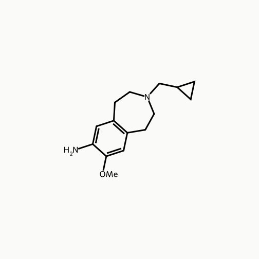 COc1cc2c(cc1N)CCN(CC1CC1)CC2